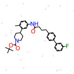 Cc1ccc(NC(=O)CCCc2ccc(-c3cccc(F)c3)cc2)cc1C1CCN(C(=O)OC(C)(C)C)CC1